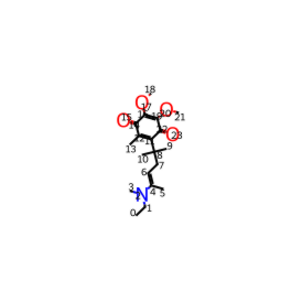 CCN(C)/C(C)=C/CC(C)(C)C1=C(C)C(=O)C(OC)=C(OC)C1=O